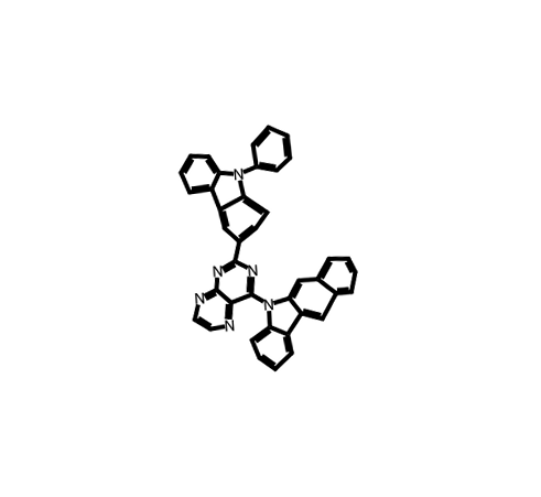 c1ccc(-n2c3ccccc3c3cc(-c4nc(-n5c6ccccc6c6cc7ccccc7cc65)c5nccnc5n4)ccc32)cc1